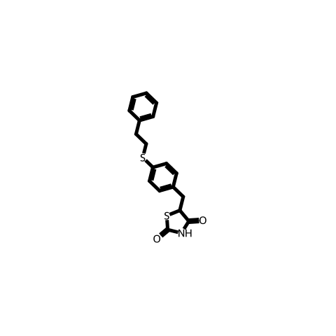 O=C1NC(=O)C(Cc2ccc(SCCc3ccccc3)cc2)S1